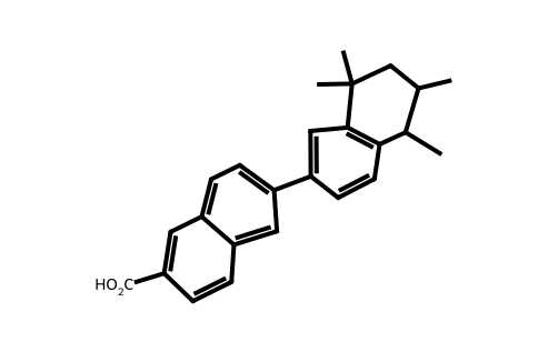 CC1CC(C)(C)c2cc(-c3ccc4cc(C(=O)O)ccc4c3)ccc2C1C